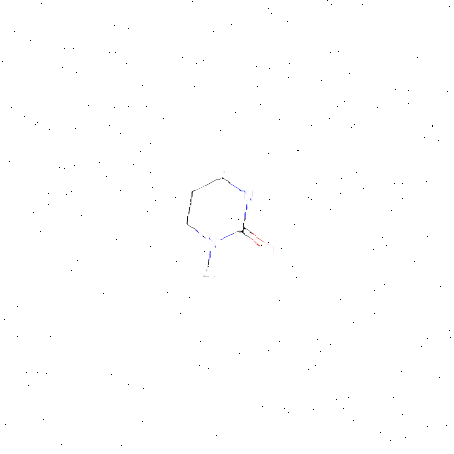 CC(=O)N1CCC[N]C1=O